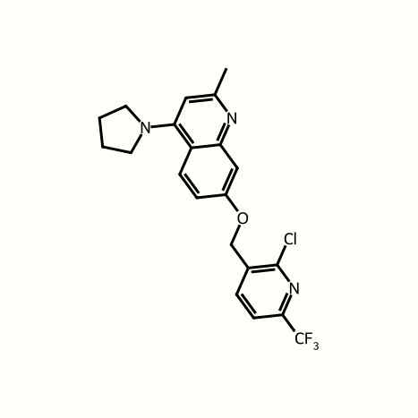 Cc1cc(N2CCCC2)c2ccc(OCc3ccc(C(F)(F)F)nc3Cl)cc2n1